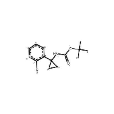 CC(C)(C)OC(=O)NC1(c2cccnc2Cl)CC1